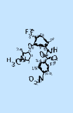 CN1CC[C@@H](Oc2cc(NS(=O)(=O)c3ccc([N+](=O)[O-])cc3)ccc2C(F)(F)F)C1